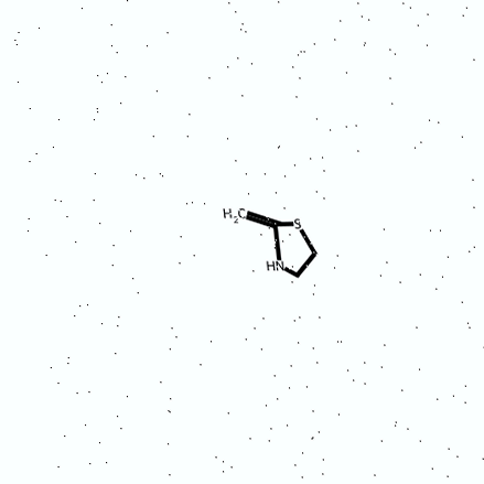 C=C1NCCS1